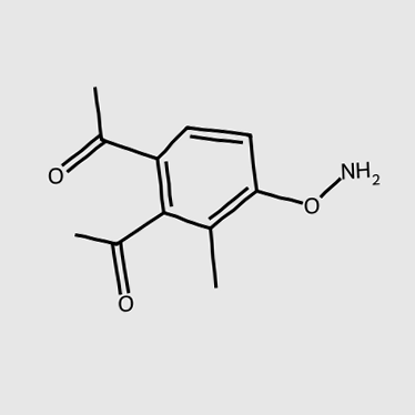 CC(=O)c1ccc(ON)c(C)c1C(C)=O